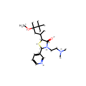 CC(CC(C)(O[SiH3])C(C)(C)C)C1SC(c2cccnc2)N(CCN(C)C)C1=O